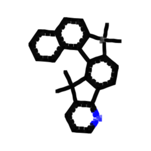 CC1(C)c2cccnc2-c2ccc3c(c21)-c1c(ccc2ccccc12)[Si]3(C)C